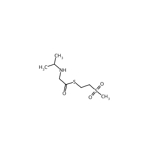 CC(C)NCC(=O)SCCS(C)(=O)=O